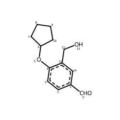 O=Cc1ccc(OC2CCCC2)c(CO)c1